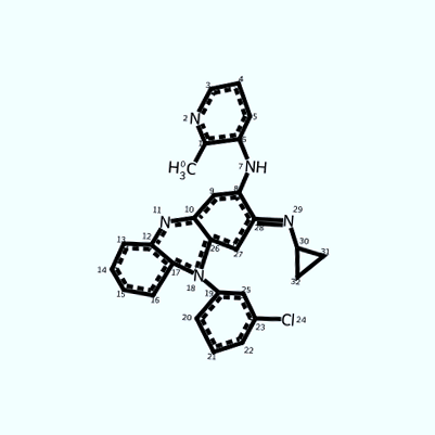 Cc1ncccc1Nc1cc2nc3ccccc3n(-c3cccc(Cl)c3)c-2c/c1=N\C1CC1